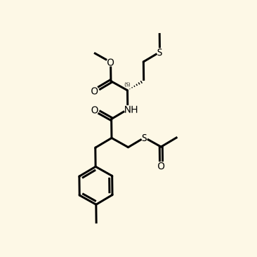 COC(=O)[C@H](CCSC)NC(=O)C(CSC(C)=O)Cc1ccc(C)cc1